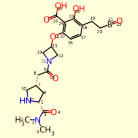 CN(C)C(=O)[C@H]1C[C@@H](CC(=O)N2CC(Oc3ccc(CCB=O)c(O)c3C(=O)O)C2)CN1